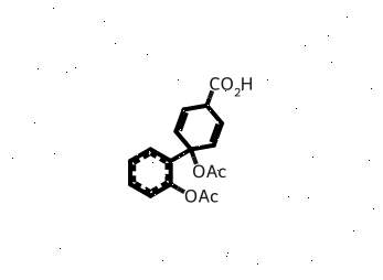 CC(=O)Oc1ccccc1C1(OC(C)=O)C=CC(C(=O)O)C=C1